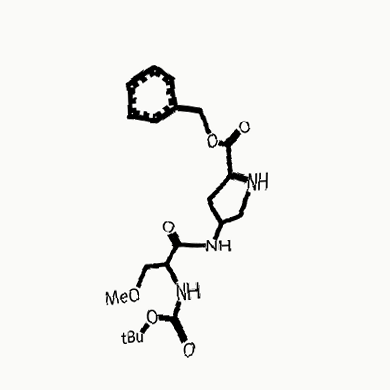 COCC(NC(=O)OC(C)(C)C)C(=O)NC1CNC(C(=O)OCc2ccccc2)C1